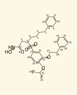 O=C(CC(CCCCc1ccccc1)S(=O)(=O)c1ccc(OC(F)F)c(OCCc2ccccc2)c1)NO